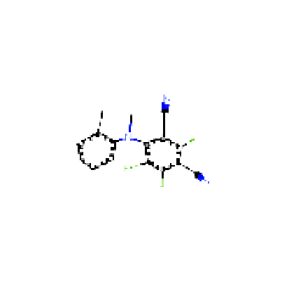 Cc1ccccc1N(C)c1c(F)c(F)c(C#N)c(F)c1C#N